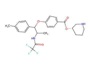 Cc1ccc(C(Oc2ccc(C(=O)O[C@H]3CCCNC3)cc2)C(C)NC(=O)C(F)(F)F)cc1